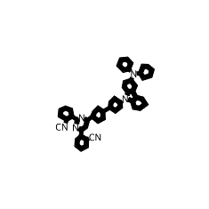 N#Cc1ccccc1-c1cc(-c2ccc(-c3ccc(-n4c5ccccc5c5cc(N(c6ccccc6)c6ccccc6)ccc54)cc3)cc2)nc(-c2ccccc2C#N)n1